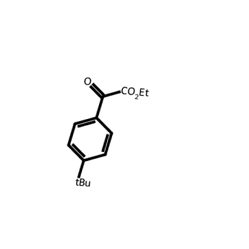 CCOC(=O)C(=O)c1ccc(C(C)(C)C)cc1